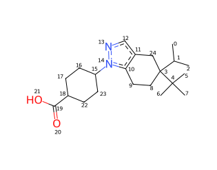 CC(C)C1(C(C)(C)C)CCc2c(cnn2C2CCC(C(=O)O)CC2)C1